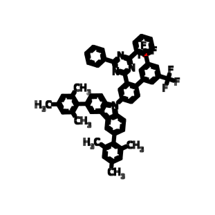 Cc1cc(C)c(-c2ccc3c(c2)c2cc(-c4c(C)cc(C)cc4C)ccc2n3-c2ccc(-c3cc(C(F)(F)F)cc(C(F)(F)F)c3)c(-c3nc(-c4ccccc4)nc(-c4ccccc4)n3)c2)c(C)c1